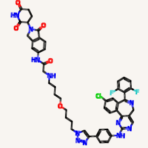 O=C1CCC(N2Cc3cc(NC(=O)CNCCCCOCCCCn4cc(-c5ccc(Nc6ncc7c(n6)-c6ccc(Cl)cc6C(c6c(F)cccc6F)=NC7)cc5)nn4)ccc3C2=O)C(=O)N1